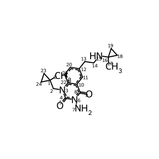 CC1(Cn2c(=O)n(N)c(=O)c3cc(CCNC4(C)CC4)ccc32)CC1